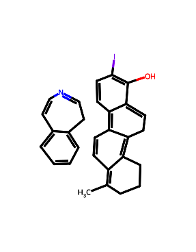 C1=Cc2ccccc2CC=N1.CC1=c2ccc3c(c2CCC1)CC=c1c(O)c(I)ccc1=3